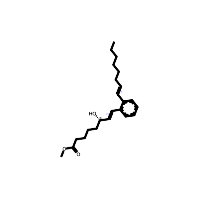 CCCCCC/C=C/c1ccccc1/C=C/[C@@H](O)CCCCC(=O)OC